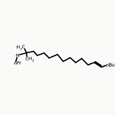 CCCC/C=C/CCCCCCCCCCC(C)(C)[N]CCC